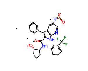 FC(F)(F)c1ccccc1.O=C(NC1CCCC1O)c1[nH]c2ncc(N=S(=O)=O)cc2c1-c1ccccc1